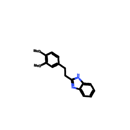 COc1ccc(CCc2nc3ccccc3[nH]2)cc1OC